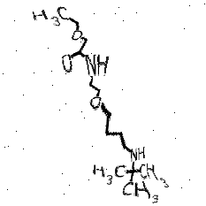 CCOCC(=O)NCCOCCCCNC(C)(C)C